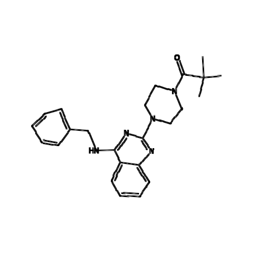 CC(C)(C)C(=O)N1CCN(c2nc(NCc3ccccc3)c3ccccc3n2)CC1